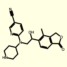 Cc1c(C(O)CN(c2ccc(C#N)cn2)C2CCNCC2)ccc2c1COC2=O